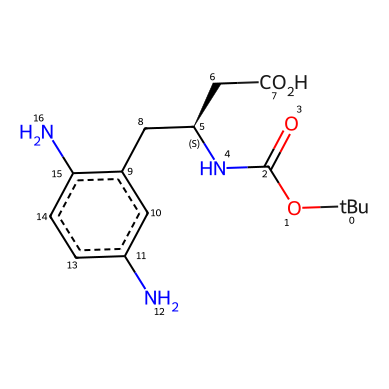 CC(C)(C)OC(=O)N[C@H](CC(=O)O)Cc1cc(N)ccc1N